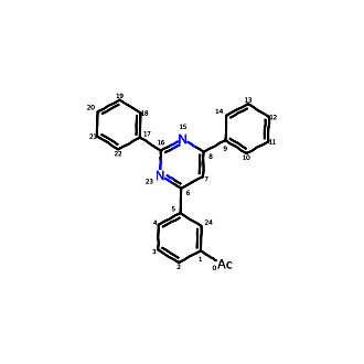 CC(=O)c1cccc(-c2cc(-c3ccccc3)nc(-c3ccccc3)n2)c1